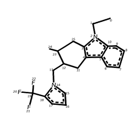 CCn1c2c(c3ccccc31)CC(Cn1cccc1C(F)(F)F)C(C)C2